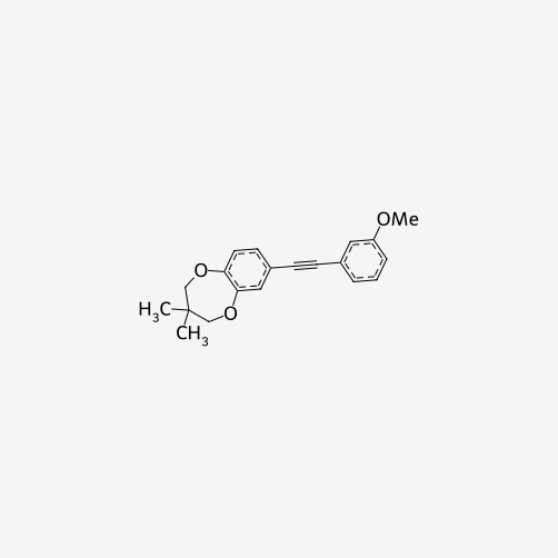 COc1cccc(C#Cc2ccc3c(c2)OCC(C)(C)CO3)c1